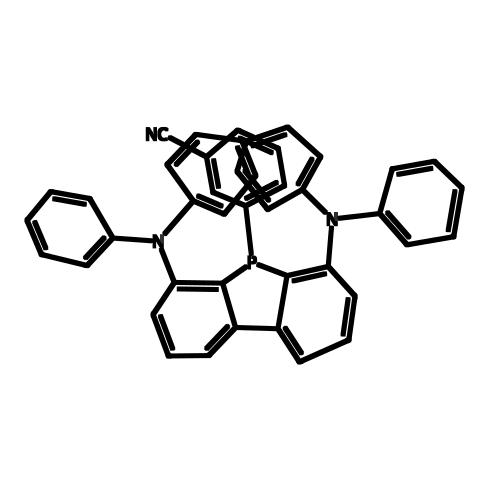 N#Cc1cccc(-p2c3c(N(c4ccccc4)c4ccccc4)cccc3c3cccc(N(c4ccccc4)c4ccccc4)c32)c1